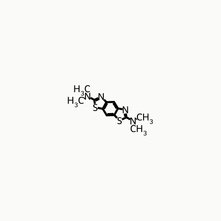 CN(C)c1nc2cc3nc(N(C)C)sc3cc2s1